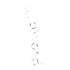 Nc1cccc(NC(=O)c2ccc(CNc3nc4ccc(OCCN5CCOCC5)cc4s3)cc2)c1